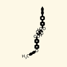 CC1C2C1C21C2C(Oc3ccc(-c4ccc(C(=O)O[C@@H]5CO[C@@H]6[C@H]5OC[C@@H]6OC(=O)c5ccc(C6CCC(C7C8C7C87C8CC87)CC6)cc5)cc4)cc3)C21